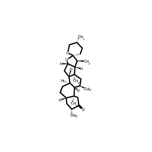 CC(=O)O[C@@H]1C[C@@H]2CC[C@@H]3[C@H]([C@H](OC(C)=O)C[C@]4(C)[C@@H]5[C@H](C[C@@H]34)O[C@]3(CC[C@@H](C)CO3)[C@H]5C)[C@@]2(C)CC1=O